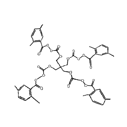 Cc1ccc(C)c(C(=O)OOC(=O)OCC(COC(=O)OOC(=O)c2cc(C)ccc2C)(COC(=O)OOC(=O)c2cc(C)ccc2C)COC(=O)OOC(=O)c2cc(C)ccc2C)c1